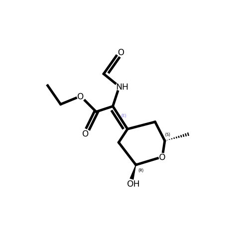 CCOC(=O)/C(NC=O)=C1/C[C@H](C)O[C@@H](O)C1